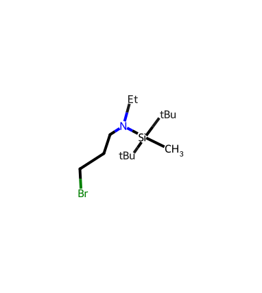 CCN(CCCBr)[Si](C)(C(C)(C)C)C(C)(C)C